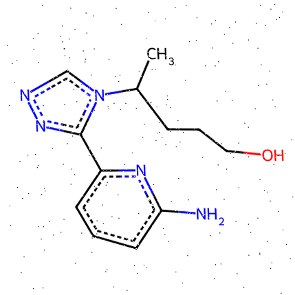 CC(CCCO)n1cnnc1-c1cccc(N)n1